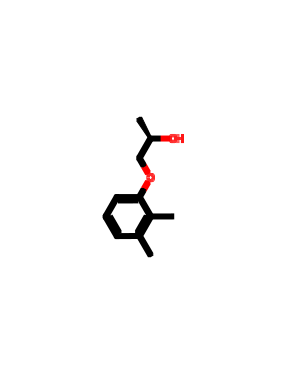 Cc1cccc(OC[C@@H](C)O)c1C